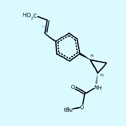 CC(C)(C)OC(=O)N[C@H]1C[C@@H]1c1ccc(/C=C/C(=O)O)cc1